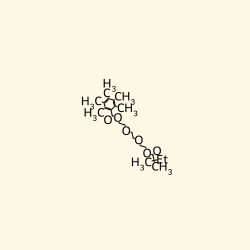 CCC(C)(C)C(=O)OCCOCCOCCOC(=O)c1c(C)c(C)c(C)c(C)c1C